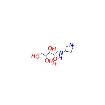 OC[C@@H](O)[C@H](O)[C@@H](O)CNC1CC[N]C1